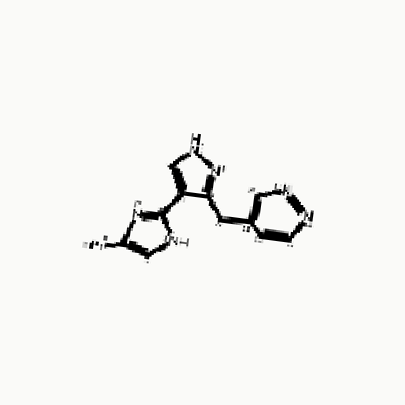 CCCc1c[nH]c(-c2c[nH]nc2Cc2ccnnc2)n1